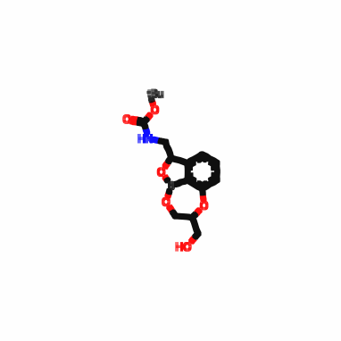 CC(C)(C)OC(=O)NCC1OB2OCC(CO)Oc3cccc1c32